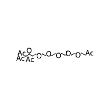 CC(=O)CCOCCOCCOCCOCCOCCC(=O)C(C(C)=O)(C(C)=O)C(C)=O